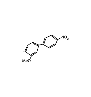 COc1[c]ccc(-c2ccc([N+](=O)[O-])cc2)c1